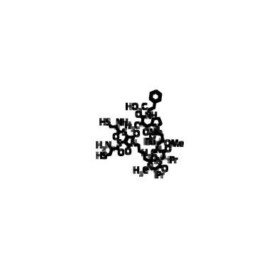 CC[C@@H](C)[C@@H]([C@@H](CC(=O)N1CCCC1[C@H](OC)[C@@H](C)C(=O)N[C@@H](Cc1ccccc1)C(=O)O)OC)N(C)C(=O)[C@@H](NC(=O)[C@H](C(C)C)N(C)C(=O)CCCCN1C(=O)C(SC(=O)[C@@H](N)CS)=C(SC(=O)[C@@H](N)CS)C1=O)C(C)C